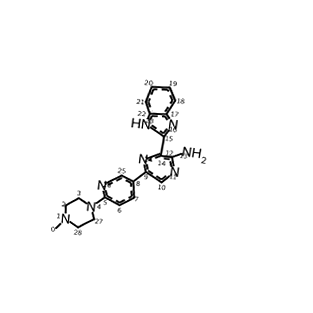 CN1CCN(c2ccc(-c3cnc(N)c(-c4nc5ccccc5[nH]4)n3)cn2)CC1